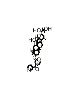 C[C@@H]1C[C@H](C(O)C(C)(C)O)O[C@H]2C1[C@@]1(C)CC[C@@]34CC35CCC(OC3CN(C(=O)c6cccnc6)CCO3)C(C)(C)[C@@H]5CC[C@H]4[C@]1(C)[C@H]2O